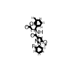 COc1cc(C(=O)N[C@@H](CC(=O)O)c2cccc(C)c2)nn1-c1ccccc1F